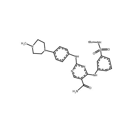 CN1CCN(c2ccc(Nc3ncc(C(N)=O)c(Nc4cccc(S(=O)(=O)NC(C)(C)C)c4)n3)cc2)CC1